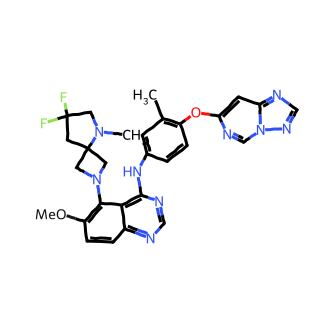 COc1ccc2ncnc(Nc3ccc(Oc4cc5ncnn5cn4)c(C)c3)c2c1N1CC2(C1)CC(F)(F)CN2C